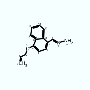 C=CCOc1ccc(C=NN)c2ccccc12